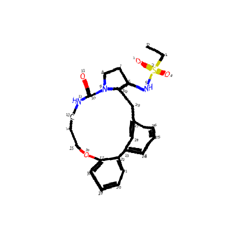 CCS(=O)(=O)NC1CCN2C(=O)NCCCOc3ccccc3-c3cccc(c3)CC12